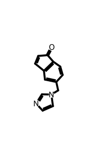 O=C1C=Cc2cc(Cn3ccnc3)ccc21